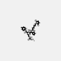 [CH2]c1ccc(NC(=O)[C@@H](CCCNC(N)=O)NC(=O)[C@H](NC(=O)CCCCCN2C(=O)C=CC2=O)C2CCCC2)cc1